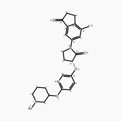 CC(=O)N1CCCC(Oc2ccc(O[C@@H]3CCN(c4cc(F)c5c(c4)C(=O)CC5)C3=O)cn2)C1